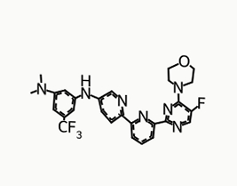 CN(C)c1cc(Nc2ccc(-c3cccc(-c4ncc(F)c(N5CCOCC5)n4)n3)nc2)cc(C(F)(F)F)c1